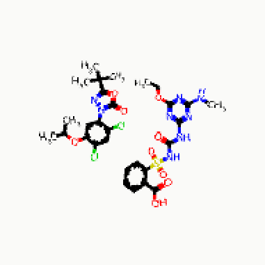 CC(C)Oc1cc(-n2nc(C(C)(C)C)oc2=O)c(Cl)cc1Cl.CCOc1nc(NC)nc(NC(=O)NS(=O)(=O)c2ccccc2C(=O)O)n1